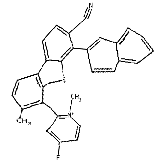 Cc1ccc2c(sc3c(-c4ccc5ccccc5c4)c(C#N)ccc32)c1-c1cc(F)cc[n+]1C